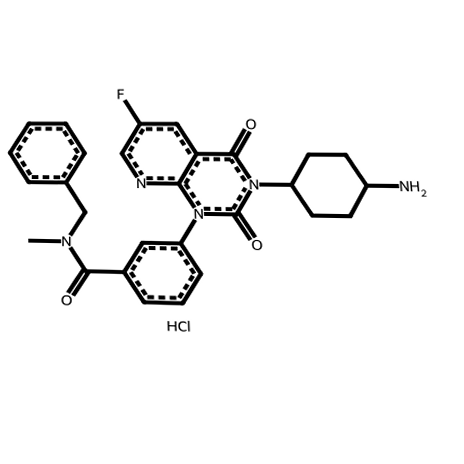 CN(Cc1ccccc1)C(=O)c1cccc(-n2c(=O)n(C3CCC(N)CC3)c(=O)c3cc(F)cnc32)c1.Cl